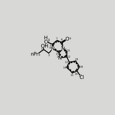 CCCC(O)Cn1c(C)cc(=O)n2cc(-c3ccc(Cl)cc3)nc12